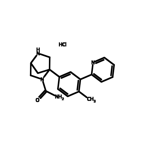 Cc1ccc(C23CNC(CN2C(N)=O)C3)cc1-c1ccccn1.Cl